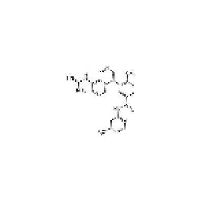 Cc1ccc(C(=O)Nc2cc(C(F)(F)F)ccn2)cc1-c1cncc2c(NC(=N)N)cccc12